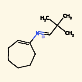 CC(C)(C)/C=N/C1=CCCCCC1